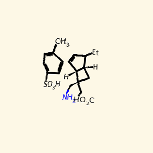 CCC1C=C[C@@H]2[C@H]1C[C@]2(CN)CC(=O)O.Cc1ccc(S(=O)(=O)O)cc1